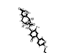 CCOc1ccc(-c2cc(F)c(NC(=O)N3[C@H]4CC[C@@H]3c3n[nH]c(=O)cc3C4)cc2Cl)cn1